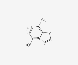 Cc1ccc(C)c2c1[CH]C=C2.[LiH]